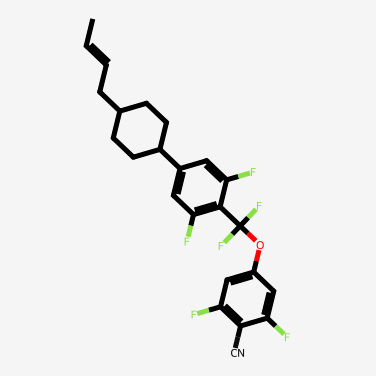 C/C=C/CC1CCC(c2cc(F)c(C(F)(F)Oc3cc(F)c(C#N)c(F)c3)c(F)c2)CC1